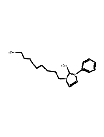 CCCCCCCCCCCCCCCCCCN1C=CN(c2ccccc2)C1CCCCCCCCCC